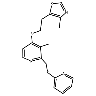 Cc1ncsc1CCSc1ccnc(CSc2ccccn2)c1C